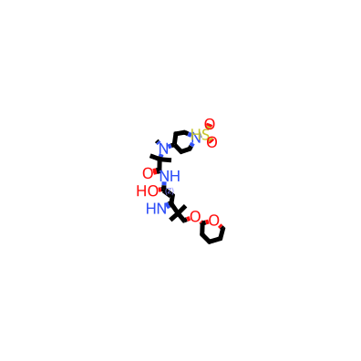 CN(C1CCN([SH](=O)=O)CC1)C(C)(C)C(=O)N/C(O)=C/C(=N)C(C)(C)COC1CCCCO1